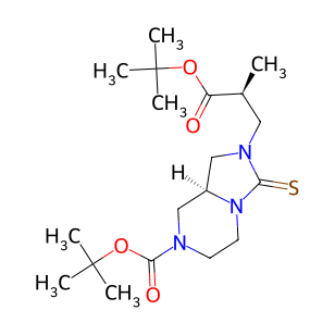 C[C@@H](CN1C[C@@H]2CN(C(=O)OC(C)(C)C)CCN2C1=S)C(=O)OC(C)(C)C